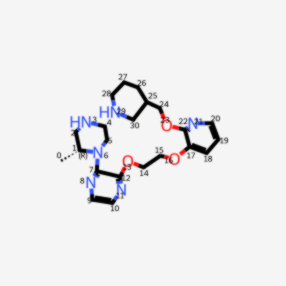 C[C@@H]1CNCCN1c1nccnc1OCCOc1cccnc1OCC1CCCNC1